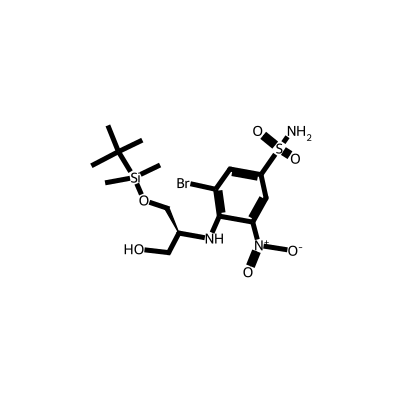 CC(C)(C)[Si](C)(C)OC[C@H](CO)Nc1c(Br)cc(S(N)(=O)=O)cc1[N+](=O)[O-]